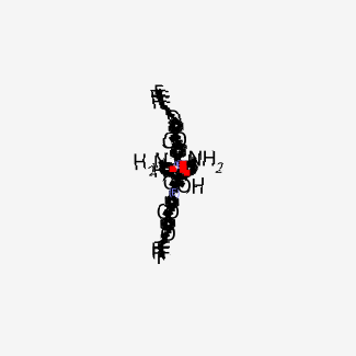 Nc1ccc(CC(Cc2ccc(N)cc2)(C(O)C(=O)/C=C/c2ccc(OC(=O)c3ccc(OCCCC(F)(F)C(F)(F)F)cc3)cc2)C(O)C(=O)/C=C/c2ccc(OC(=O)c3ccc(OCCCC(F)(F)C(F)(F)F)cc3)cc2)cc1